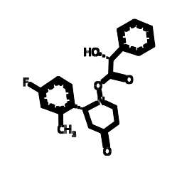 Cc1cc(F)ccc1[C@H]1CC(=O)CCN1OC(=O)[C@H](O)c1ccccc1